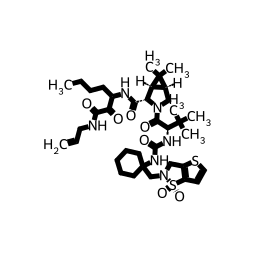 C=CCNC(=O)C(=O)C(CCCC)NC(=O)[C@@H]1[C@@H]2[C@H](CN1C(=O)[C@@H](NC(=O)NC1(CN3Cc4sccc4S3(=O)=O)CCCCC1)C(C)(C)C)C2(C)C